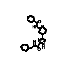 O=C(Nc1cc(-c2c[nH]c(C(=O)NCc3ccccc3)n2)ccn1)c1ccccc1